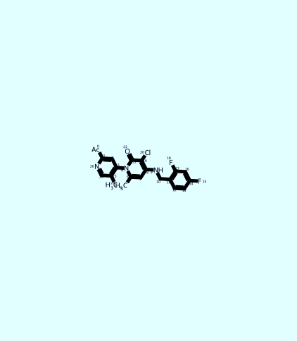 CC(=O)c1cc(-n2c(C)cc(NCc3ccc(F)cc3F)c(Cl)c2=O)c(C)cn1